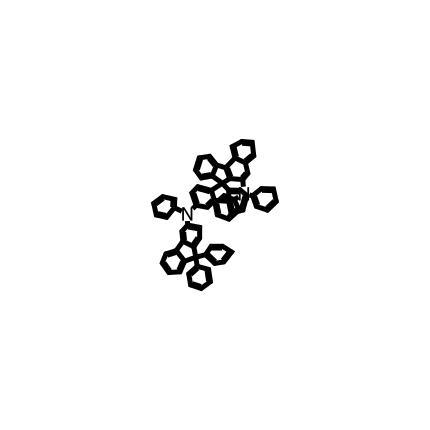 c1ccc(N(c2ccc3c(c2)-c2ccccc2C3(c2ccccc2)c2ccccc2)c2ccc3c(c2)-c2ccccc2C32c3ccccc3-c3c2c(N(c2ccccc2)c2ccccc2)cc2ccccc32)cc1